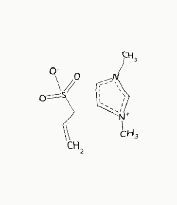 C=CCS(=O)(=O)[O-].Cn1cc[n+](C)c1